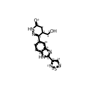 O=C1CC(CO)C(c2ccc3[nH]c(-c4cnsn4)nc3c2)=NN1